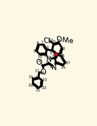 COc1cccc(-c2ccccc2-n2c(C(=O)OCc3ccccc3)nc3ccccc32)c1Cl